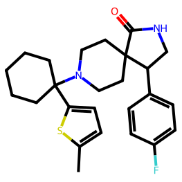 Cc1ccc(C2(N3CCC4(CC3)C(=O)NCC4c3ccc(F)cc3)CCCCC2)s1